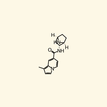 Cc1ccn2ccc(C(=O)N[C@@H]3C[C@H]4CC[C@@H]3N4)cc12